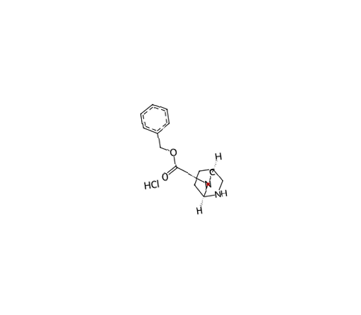 Cl.O=C(OCc1ccccc1)N1C[C@H]2CC[C@@H](C1)NC2